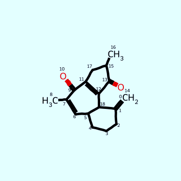 C=C1CCCC2C=C(C)C(=O)C3=C(C(=O)C(C)C3)C12